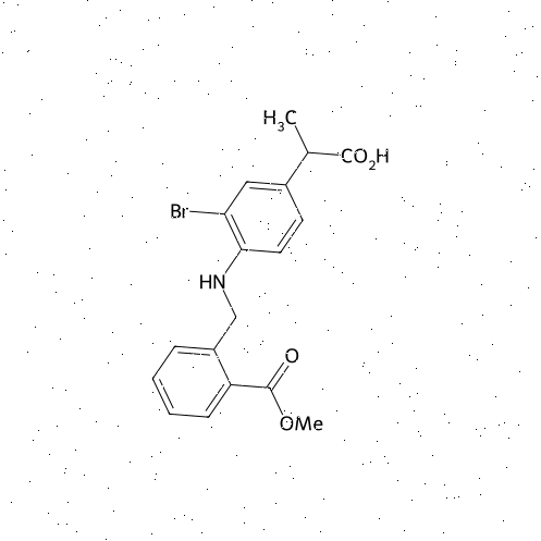 COC(=O)c1ccccc1CNc1ccc(C(C)C(=O)O)cc1Br